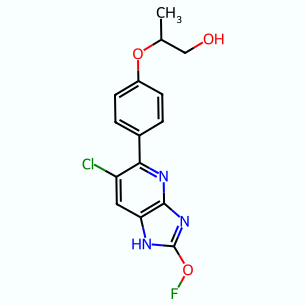 CC(CO)Oc1ccc(-c2nc3nc(OF)[nH]c3cc2Cl)cc1